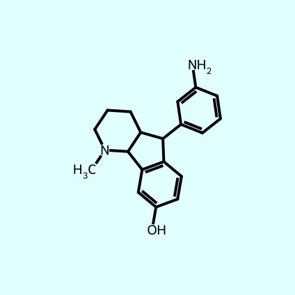 CN1CCCC2C(c3cccc(N)c3)c3ccc(O)cc3C21